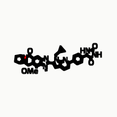 COc1c2c(cc3nc(-c4cc5ccc(-c6ccc(C7NC(=O)NC7=O)cc6)nc5n4CC4CC4)n(C)c13)C(=O)N1C(C2)C2CCC1[C@@H]2C